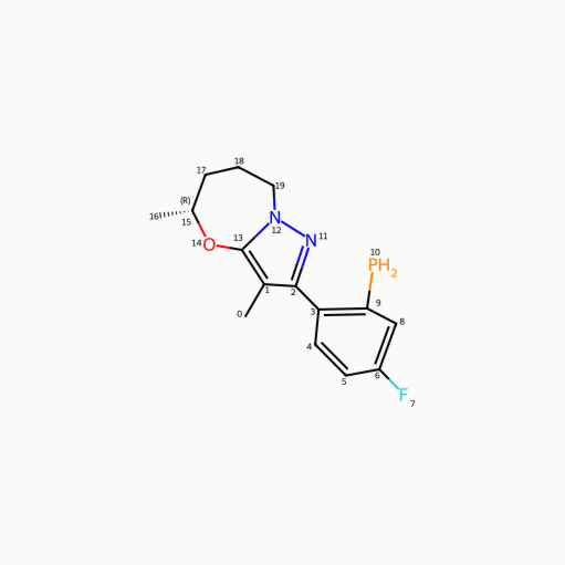 Cc1c(-c2ccc(F)cc2P)nn2c1O[C@H](C)CCC2